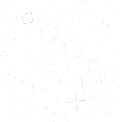 Cc1onc(-c2ccc(-c3ccc(C4CCC4)cc3)cc2)c1NC(=O)OC(C)(C)C.O=C(O)O